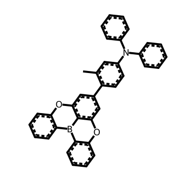 Cc1cc(N(c2ccccc2)c2ccccc2)ccc1-c1cc2c3c(c1)Oc1ccccc1B3c1ccccc1O2